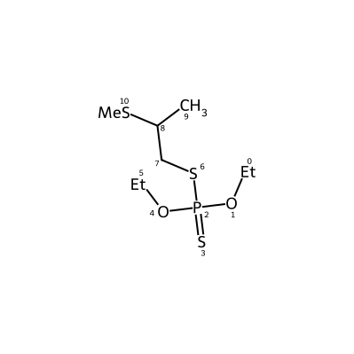 CCOP(=S)(OCC)SCC(C)SC